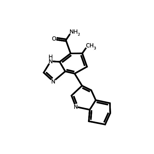 Cc1cc(-c2cnc3ccccc3c2)c2nc[nH]c2c1C(N)=O